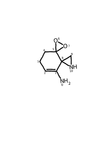 NC1=CCCC2(OO2)C12CN2